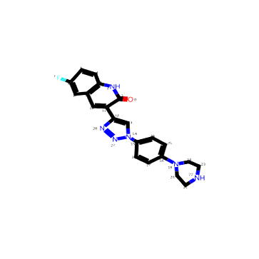 O=c1[nH]c2ccc(F)cc2cc1-c1cn(-c2ccc(N3CCNCC3)cc2)nn1